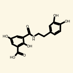 O=C(O)c1cc(O)cc(C(=O)NCCc2ccc(O)c(O)c2)c1O